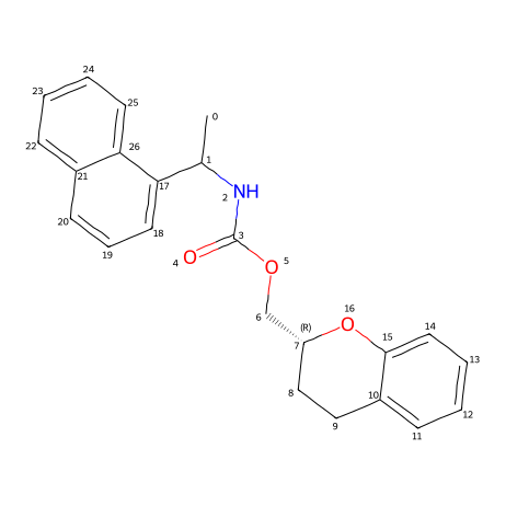 CC(NC(=O)OC[C@H]1CCc2ccccc2O1)c1cccc2ccccc12